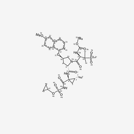 C=C[C@@H]1C[C@]1(NC(=O)[C@@H]1C[C@@H](Oc2nccc3cc(OC)ccc23)CN1C(=O)[C@@H](NC(=O)OC(C)(C)C)C(C)(C)S(C)(=O)=O)C(=O)NS(=O)(=O)OC1CC1